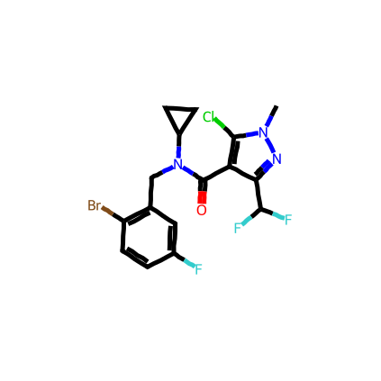 Cn1nc(C(F)F)c(C(=O)N(Cc2cc(F)ccc2Br)C2CC2)c1Cl